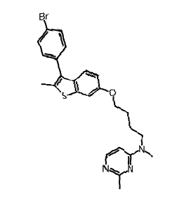 Cc1nccc(N(C)CCCCOc2ccc3c(-c4ccc(Br)cc4)c(C)sc3c2)n1